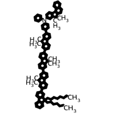 CCCCCCCCC1(CCCCCCC)c2ccccc2-c2ccc(-c3ccc4c(c3)C(C)(C)c3cc(-c5ccc6c(c5)C(C)(C)c5cc(-c7ccc8c(c7)C(C)(C)c7cc(-c9ccc(N(c%10ccccc%10)c%10ccc%11c(c%10)C(C)(C)c%10ccc%12ccccc%12c%10-%11)cc9)ccc7-8)ccc5-6)ccc3-4)cc21